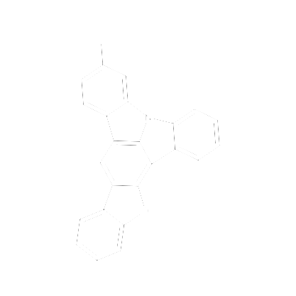 Ic1ccc2c3cc4c5ccccc5oc4c4c5ccccc5n(c2c1)c34